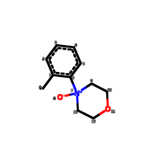 [CH2]c1ccccc1[N+]1([O-])CCOCC1